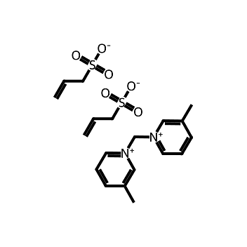 C=CCS(=O)(=O)[O-].C=CCS(=O)(=O)[O-].Cc1ccc[n+](C[n+]2cccc(C)c2)c1